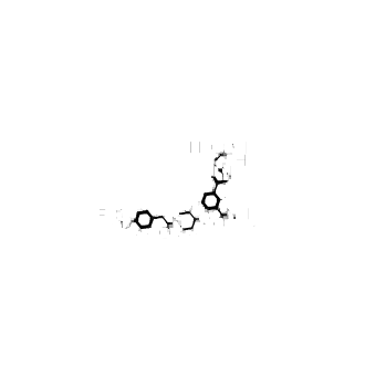 CC(C)(O)Cn1cc(-c2ccc(OC3CCN(C(=O)Cc4ccc(OC(F)(F)F)cc4)CC3)c(C(N)=O)c2)cn1